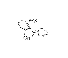 CC(C)(c1ccccc1)c1ccccc1O.O